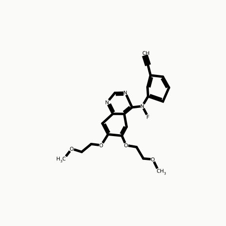 C#Cc1cccc(N(F)c2ncnc3cc(OCCOC)c(OCCOC)cc23)c1